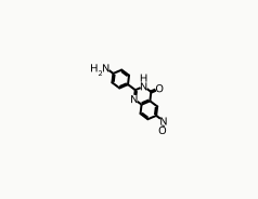 Nc1ccc(-c2nc3ccc(N=O)cc3c(=O)[nH]2)cc1